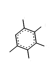 CC(=O)c1c(O)c(Cl)cc(Br)c1Cl